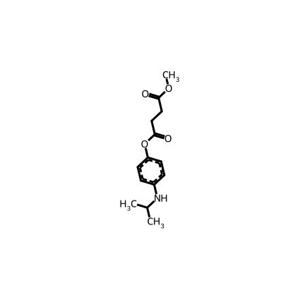 COC(=O)CCC(=O)Oc1ccc(NC(C)C)cc1